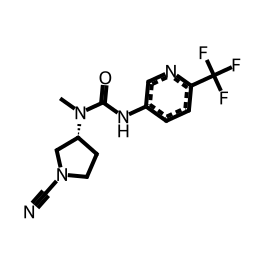 CN(C(=O)Nc1ccc(C(F)(F)F)nc1)[C@@H]1CCN(C#N)C1